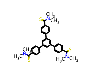 CN(C)C(=S)c1ccc(-c2cc(-c3ccc(C(=S)N(C)C)cc3)cc(-c3ccc(C(=S)N(C)C)cc3)c2)cc1